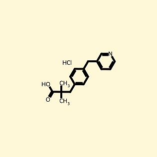 CC(C)(Cc1ccc(Cc2cccnc2)cc1)C(=O)O.Cl